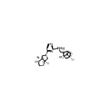 CC1(C)[C@H]2CC[C@H](CNc3nccc(N4C[C@H]5CCN[C@H]5C4)n3)[C@@H]1C2